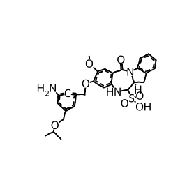 COc1cc2c(cc1OCc1cc(N)cc(COC(C)C)c1)NC(S(=O)(=O)O)[C@@H]1Cc3ccccc3N1C2=O